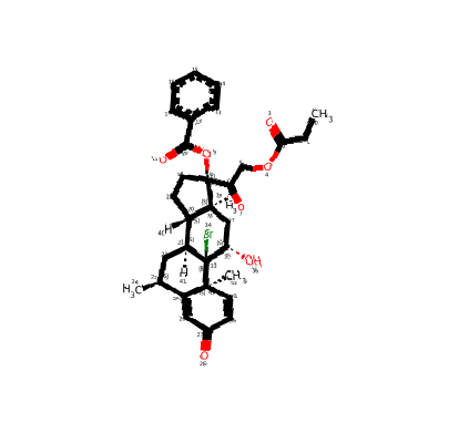 CCC(=O)OCC(=O)[C@@]1(OC(=O)c2ccccc2)CC[C@H]2[C@@H]3C[C@H](C)C4=CC(=O)C=C[C@]4(C)[C@@]3(Br)[C@@H](O)C[C@@]21C